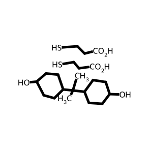 CC(C)(C1CCC(O)CC1)C1CCC(O)CC1.O=C(O)CCS.O=C(O)CCS